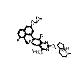 C#Cc1c(F)ccc2cc(OCOC)cc(-c3ncc4c(O)nc(OC[C@]56CCC[C@H]5N(C)CCC6)nc4c3F)c12